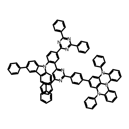 c1ccc(-c2ccc3c(c2)c2cc(-c4ccccc4)ccc2n3-c2ccc(-c3nc(-c4ccccc4)nc(-c4ccccc4)n3)cc2-c2cc(-c3ccccc3)nc(-c3ccc(-c4cc5c6c(c4)N(c4ccccc4)c4ccccc4B6c4ccccc4N5c4ccccc4)cc3)n2)cc1